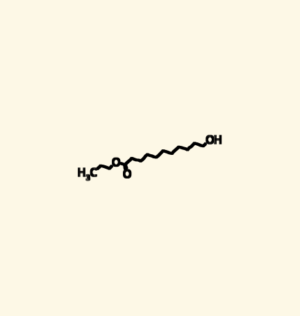 CCCOC(=O)CCCCCCCCCCO